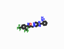 Nc1ccccc1-c1nc2cnn(Cc3cc(-c4ccc(C(F)(F)F)cc4C(F)(F)F)no3)cc-2n1